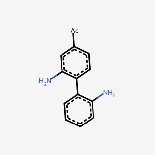 CC(=O)c1ccc(-c2ccccc2N)c(N)c1